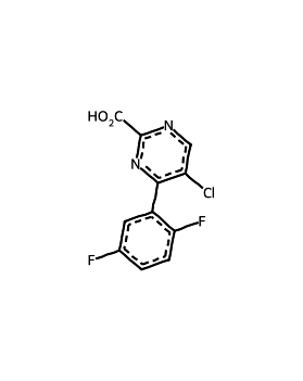 O=C(O)c1ncc(Cl)c(-c2cc(F)ccc2F)n1